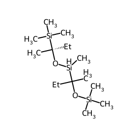 CCC(C)(O[Si](C)(C)C)[SiH](C)O[C@](C)(CC)[Si](C)(C)C